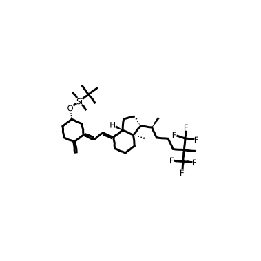 C=C1CC[C@H](O[Si](C)(C)C(C)(C)C)C/C1=C\C=C1/CCC[C@]2(C)[C@@H]([C@@H](C)CCCC(C)(C(F)(F)F)C(F)(F)F)CC[C@@H]12